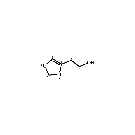 OCCC1=COCO1